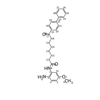 COc1ccc(N)c(NC(=O)CCCCCCC(=O)c2ccc(-c3ccccc3)cc2)c1